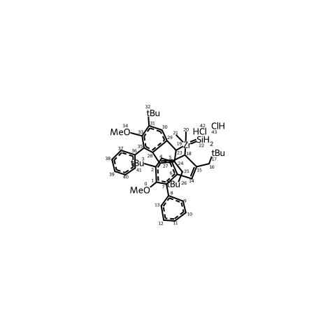 COc1c(C(C)(C)C)cc2c(c1-c1ccccc1)C=C(CC(C)(C)C)[CH]2[Zr]([CH3])([CH3])(=[SiH2])[CH]1C(CC(C)(C)C)=Cc2c1cc(C(C)(C)C)c(OC)c2-c1ccccc1.Cl.Cl